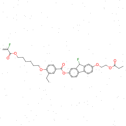 C=C(F)C(=O)OCCCCCCOc1ccc(C(=O)Oc2ccc3c(c2)C(F)c2cc(OCCOC(=O)CC)ccc2-3)cc1CC